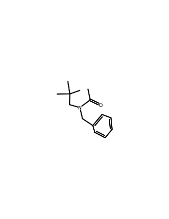 CC(=O)N(Cc1ccccc1)CC(C)(C)C